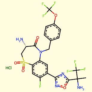 CC(N)(c1nc(-c2cc3c(cc2F)S(=O)(=O)C[C@H](N)C(=O)N3Cc2ccc(OC(F)(F)F)cc2)no1)C(F)(F)F.Cl